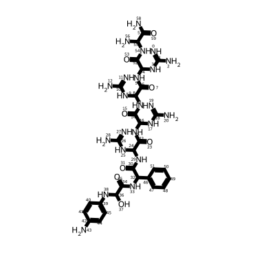 N=C(N)NC(NC(=O)C(NC(=N)N)NC(=O)C(NC(=N)N)NC(=O)C(NC(=N)N)NC(=O)C(NC(=O)C(O)Nc1ccc(N)cc1)c1ccccc1)C(=O)NC(N)C(N)=O